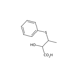 CC(Sc1ccccc1)C(O)C(=O)O